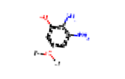 CCOCC.Nc1cccc(O)c1N